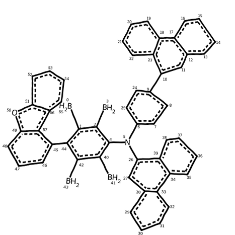 Bc1c(B)c(N(c2ccc(-c3cc4ccccc4c4ccccc34)cc2)c2cc3ccccc3c3ccccc23)c(B)c(B)c1-c1cccc2oc3ccccc3c12